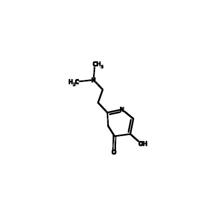 CN(C)CCC1=NC=C(O)C(=O)C1